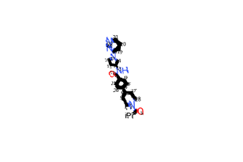 CC(C)C(=O)N1CCC(c2ccc(C(=O)N[C@H]3CCN(c4cccnn4)C3)cc2)CC1